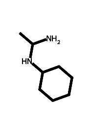 CC(N)NC1CCCCC1